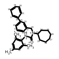 Cc1cc(C)c(NC(=O)N(Cc2cccc(-c3ccccc3)c2)C2CCCCCC2)c(C)c1